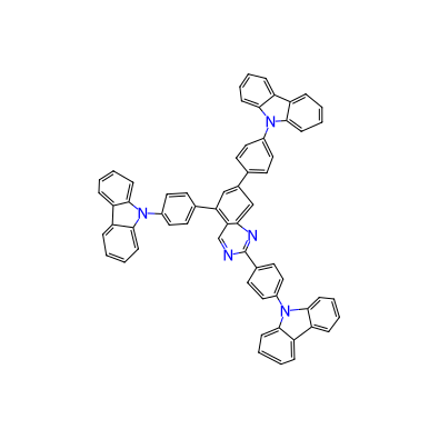 c1ccc2c(c1)c1ccccc1n2-c1ccc(-c2cc(-c3ccc(-n4c5ccccc5c5ccccc54)cc3)c3cnc(-c4ccc(-n5c6ccccc6c6ccccc65)cc4)nc3c2)cc1